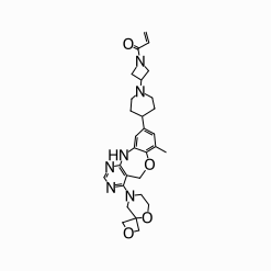 C=CC(=O)N1CC(N2CCC(c3cc(C)c4c(c3)Nc3ncnc(N5CCOC6(COC6)C5)c3CO4)CC2)C1